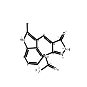 Cc1[nH]c2ccccc2c1C=C1C(=O)NN=C1NC(=O)C(F)(F)F